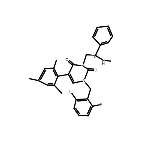 CN[C@@H](Cn1c(=O)c(-c2c(C)cc(C)cc2C)cn(Cc2c(F)cccc2F)c1=O)c1ccccc1